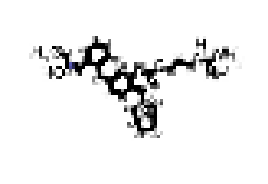 C=C/C(O)=C\c1ccccc1Cc1ccc2c(N3CC4CCC(C3)N4)nc(OCCCNC(=N)N)nc2c1F